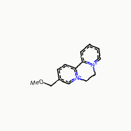 COCc1ccc2[n+](c1)CC[n+]1ccccc1-2